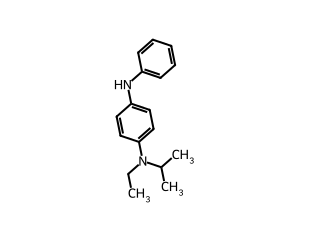 CCN(c1ccc(Nc2ccccc2)cc1)C(C)C